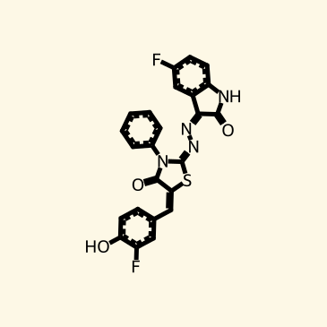 O=C1Nc2ccc(F)cc2C1=NN=C1SC(=Cc2ccc(O)c(F)c2)C(=O)N1c1ccccc1